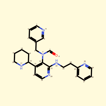 O=CN(Cc1cccnc1)c1c(C2CCCCN2)ccnc1NCCc1ccccn1